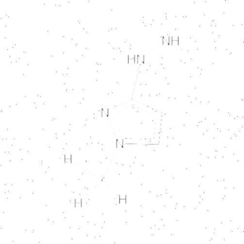 [2H]C([2H])([2H])n1ccc(NN)n1